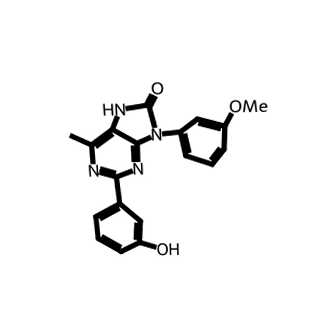 COc1cccc(-n2c(=O)[nH]c3c(C)nc(-c4cccc(O)c4)nc32)c1